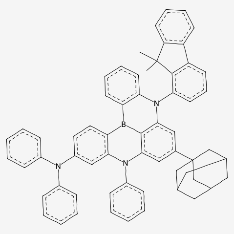 CC1(C)c2ccccc2-c2cccc(N3c4ccccc4B4c5ccc(N(c6ccccc6)c6ccccc6)cc5N(c5ccccc5)c5cc(C67CC8CC(CC(C8)C6)C7)cc3c54)c21